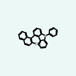 Cc1ccc2ccccc2c1-c1cccc2c1c1ccccc1n2-c1ccccc1